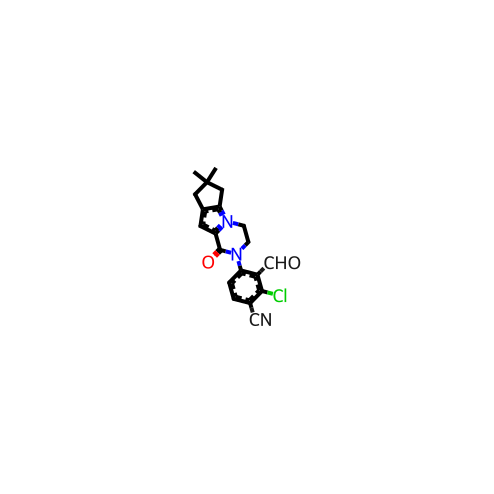 CC1(C)Cc2cc3n(c2C1)CCN(c1ccc(C#N)c(Cl)c1C=O)C3=O